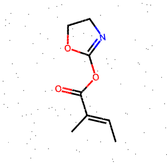 CC=C(C)C(=O)OC1=NCCO1